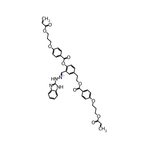 C=CC(=O)OCCCOc1ccc(C(=O)OCCc2ccc(OC(=O)c3ccc(OCCCOC(=O)C=C)cc3)c(/C=N/Nc3nc4ccccc4[nH]3)c2)cc1